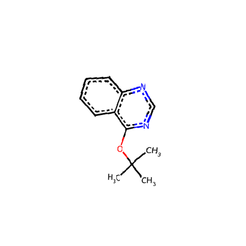 CC(C)(C)Oc1ncnc2ccccc12